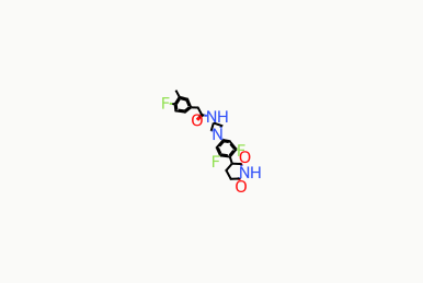 Cc1cc(CC(=O)NC2CN(c3cc(F)c(C4CCC(=O)NC4=O)c(F)c3)C2)ccc1F